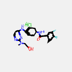 CN(CCO)c1nccc(NC2CCC(NC(=O)c3ccc(F)c(F)c3)CC2)n1.Cl